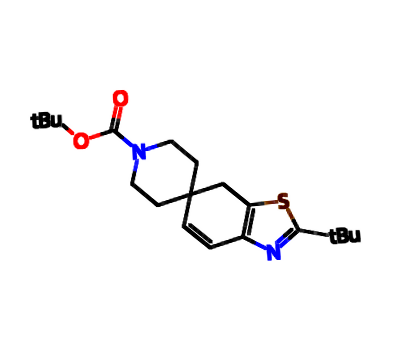 CC(C)(C)OC(=O)N1CCC2(C=Cc3nc(C(C)(C)C)sc3C2)CC1